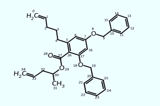 C=CCCCc1cc(OCc2ccccc2)cc(OCc2ccccc2)c1C(=O)OC(C)CC=C